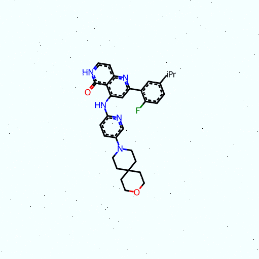 CC(C)c1ccc(F)c(-c2cc(Nc3ccc(N4CCC5(CCOCC5)CC4)cn3)c3c(=O)[nH]ccc3n2)c1